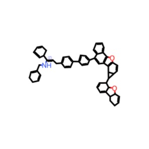 C1=CCC(/C(=C/Cc2ccc(-c3ccc(-c4cc5c6c(oc5c5ccccc45)C=CC4C6C4C4C=CC=C5C6CCC=CC6OC54)cc3)cc2)NCC2=CCCC=C2)C=C1